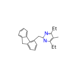 CCc1nc(Cc2cccc3c2-c2ccccc2C3)nc(CC)c1C